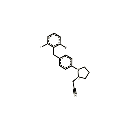 N#CC[C@@H]1CCCN1c1ccc(Cc2c(F)cccc2F)cc1